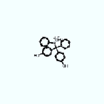 Cc1ccccc1C(c1ccc(O)cc1)(c1ccc(O)cc1)N(C=O)c1ccccc1